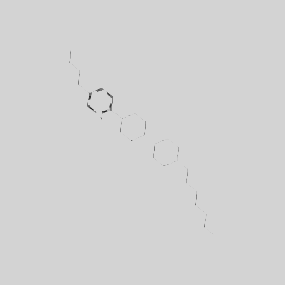 CCCCCCC[C@H]1CC[C@H](C2CCC(c3ccc(CCCC)cn3)CC2)CC1